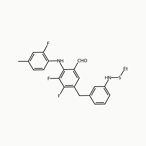 CCSNc1cccc(Cc2cc(C=O)c(Nc3ccc(C)cc3F)c(F)c2F)c1